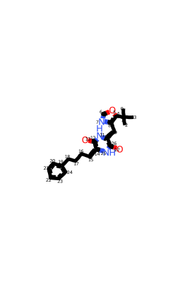 CC(C)(C)c1ocnc1C=c1[nH]c(=O)c(=CCCCc2ccccc2)[nH]c1=O